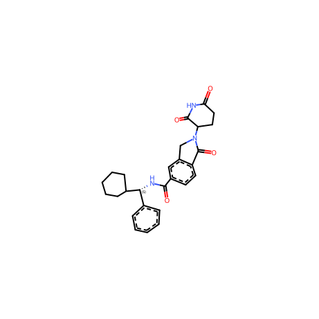 O=C1CCC(N2Cc3cc(C(=O)N[C@H](c4ccccc4)C4CCCCC4)ccc3C2=O)C(=O)N1